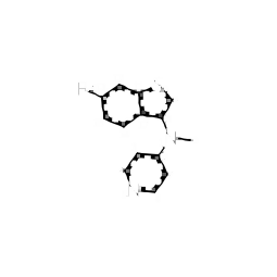 CN(c1ccncc1)c1csc2cc(F)ccc12